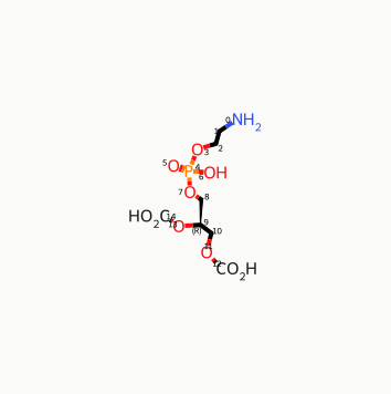 NCCOP(=O)(O)OC[C@@H](COC(=O)O)OC(=O)O